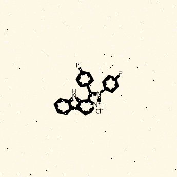 Fc1ccc(-c2c3c4[nH]c5ccccc5c4cc[n+]3cn2-c2ccc(F)cc2)cc1.[Cl-]